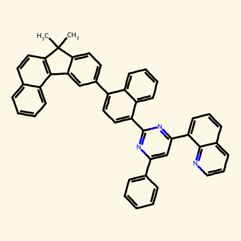 CC1(C)c2ccc(-c3ccc(-c4nc(-c5ccccc5)cc(-c5cccc6cccnc56)n4)c4ccccc34)cc2-c2c1ccc1ccccc21